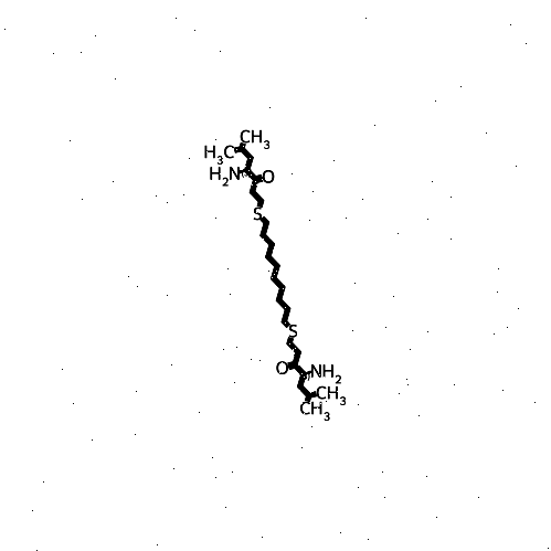 CC(C)C[C@H](N)C(=O)CCSCCCCCCCCCCSCCC(=O)[C@@H](N)CC(C)C